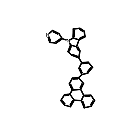 c1cc(-c2ccc3c4ccccc4c4ccccc4c3c2)cc(-c2ccc3c(c2)c2ccccc2n3-c2ccncc2)c1